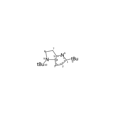 CC(C)(C)c1ccc2c(n1)CCN2C(C)(C)C